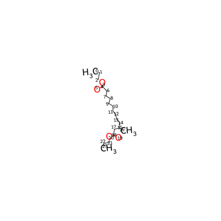 CCCOC(=O)CCCCCCCCCC(C)CC(=O)OCCC